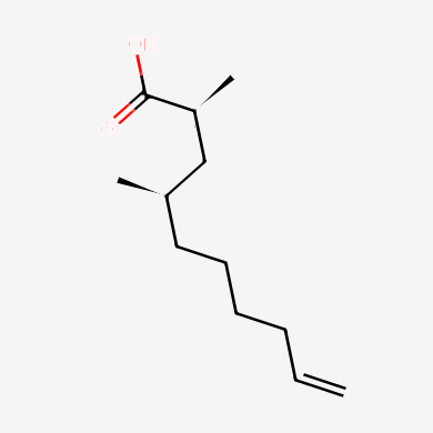 C=CCCCC[C@@H](C)C[C@H](C)C(=O)O